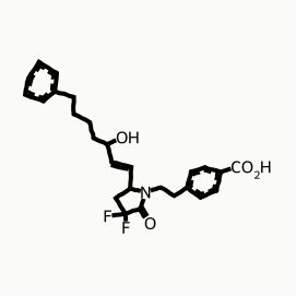 O=C(O)c1ccc(CCN2C(=O)C(F)(F)CC2C=CC(O)CCCCc2ccccc2)cc1